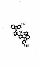 N#Cc1ccc2c(c1)c1ccccc1n2-c1cccc(-c2ccc(-n3c4ccccc4c4cc(C#N)ccc43)c(-c3ccccc3C#N)c2)c1